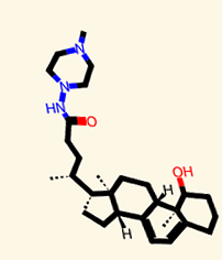 C[C@H](CCC(=O)NN1CCN(C)CC1)[C@H]1CC[C@H]2C3=CC=C4CCCC(O)[C@]4(C)[C@H]3CC[C@]12C